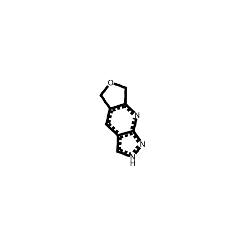 c1[nH]nc2nc3c(cc12)COC3